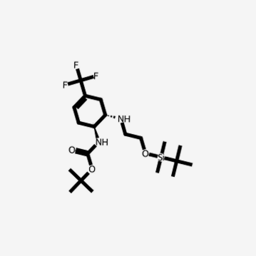 CC(C)(C)OC(=O)N[C@H]1CC=C(C(F)(F)F)C[C@@H]1NCCO[Si](C)(C)C(C)(C)C